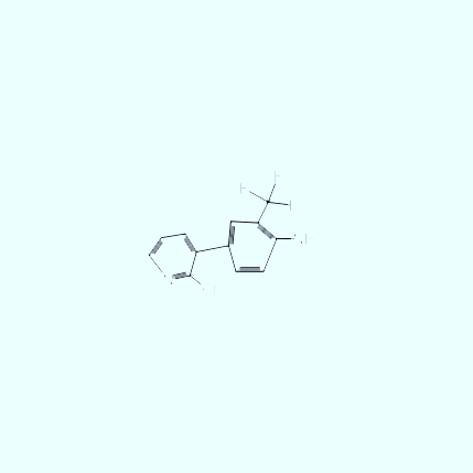 Cc1ncccc1-c1ccc(N)c(C(F)(F)F)c1